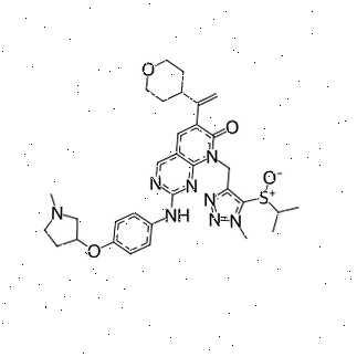 C=C(c1cc2cnc(Nc3ccc(OC4CCN(C)C4)cc3)nc2n(Cc2nnn(C)c2[S+]([O-])C(C)C)c1=O)C1CCOCC1